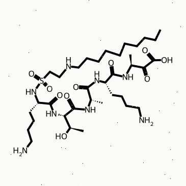 CCCCCCCCCCNCCS(=O)(=O)N[C@@H](CCCCN)C(=O)N[C@H](C(=O)N[C@@H](C)C(=O)N[C@@H](CCCCN)C(=O)N[C@@H](C)C(=O)C(=O)O)[C@@H](C)O